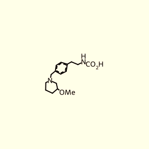 COC1CCCN(Cc2ccc(CCNC(=O)O)cc2)C1